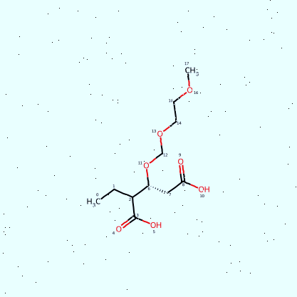 CCC(C(=O)O)[C@@H](CC(=O)O)OCOCCOC